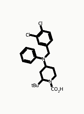 CC(C)(C)C1CC(N(Cc2ccc(Cl)c(Cl)c2)c2ccccc2)CCN1C(=O)O